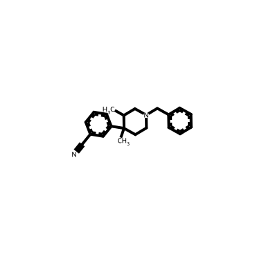 CC1CN(Cc2ccccc2)CCC1(C)c1cccc(C#N)c1